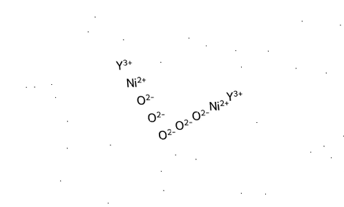 [Ni+2].[Ni+2].[O-2].[O-2].[O-2].[O-2].[O-2].[Y+3].[Y+3]